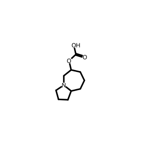 O=C(O)OC1CCCC2CCCN2C1